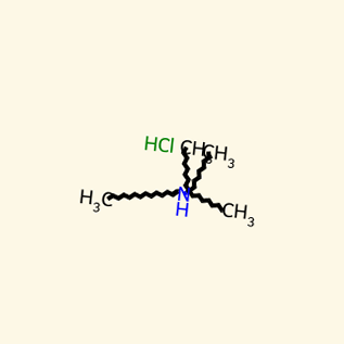 CCCCCCCCCCCCC=CNC(CCCCCCCC)(CCCCCCCC)CCCCCCCC.Cl